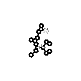 CC1(C)c2ccccc2-c2ccc(-c3ccc4c(c3)c3ccccc3c3cc5c6cc(-c7ccccc7)ccc6n(-c6cc(-c7cccc8ccccc78)nc(-c7cccc8ccccc78)n6)c5cc43)cc21